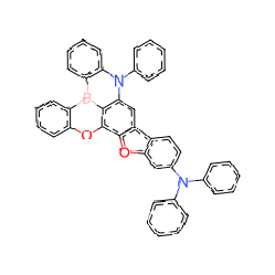 c1ccc(N(c2ccccc2)c2ccc3c(c2)oc2c4c5c(cc23)N(c2ccccc2)c2ccccc2B5c2ccccc2O4)cc1